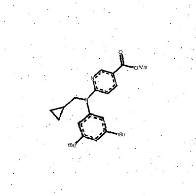 COC(=O)c1ccc(N(CC2CC2)c2cc(C(C)(C)C)cc(C(C)(C)C)c2)nc1